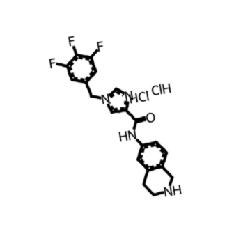 Cl.Cl.O=C(Nc1ccc2c(c1)CCNC2)c1cn(Cc2cc(F)c(F)c(F)c2)cn1